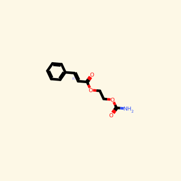 NC(=O)OCCOC(=O)/C=C/c1ccccc1